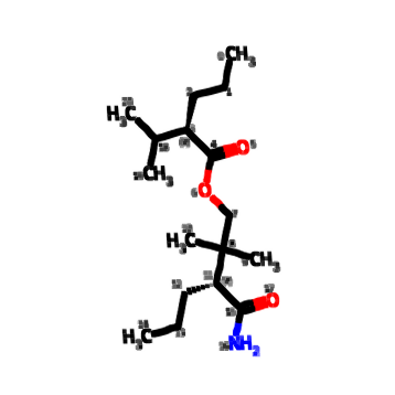 CCC[C@@H](C(=O)OCC(C)(C)[C@@H](CCC)C(N)=O)C(C)C